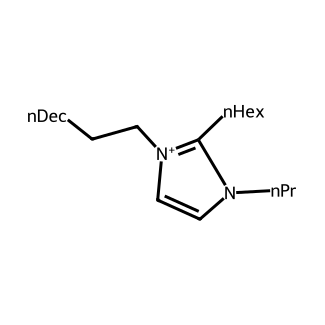 CCCCCCCCCCCC[n+]1ccn(CCC)c1CCCCCC